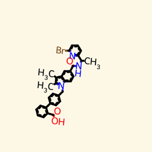 Cc1c(C)n(Cc2ccc(-c3ccccc3C(=O)O)cc2)c2ccc(C(=O)NC(C)c3cccc(Br)n3)cc12